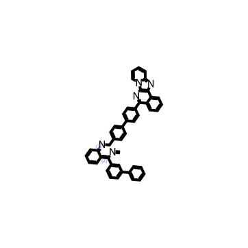 C=N/C(=C1/C=CC=C/C1=N/Cc1ccc(-c2ccc(-c3nc4c(nc5ccccn54)c4ccccc34)cc2)cc1)c1cccc(-c2ccccc2)c1